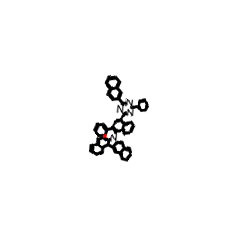 c1ccc(-c2nc(-c3ccc4ccccc4c3)nc(-c3cc(-c4ccccc4)c(-n4c5cc6ccccc6cc5c5c6ccccc6ccc54)c4ccccc34)n2)cc1